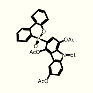 CCn1c2ccc(OC(C)=O)cc2c2c(OC(C)=O)c(P3(=O)Oc4ccccc4-c4ccccc43)cc(OC(C)=O)c21